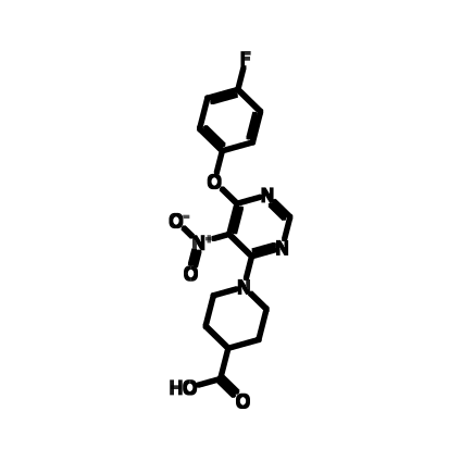 O=C(O)C1CCN(c2ncnc(Oc3ccc(F)cc3)c2[N+](=O)[O-])CC1